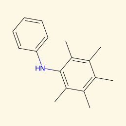 Cc1c(C)c(C)c(Nc2ccccc2)c(C)c1C